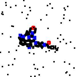 C=CC(=O)N1CC2(CCN(c3nc(N4CCOCC4)nc(-c4c(C)ccc5cnn(C6CC6)c45)c3C#N)C2)C1